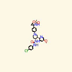 COc1ccc([C@@H]2CN(c3ccc(C4(NS(C)(=O)=O)CC4)cc3)CC[C@H]2NC(=O)Nc2ccc(Cl)cc2)nc1